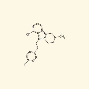 CN1CCc2c(c3cccc(Cl)c3n2CCc2ccc(F)cc2)C1